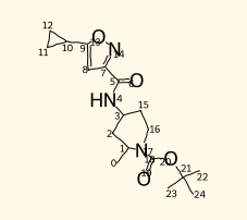 CC1CC(NC(=O)c2cc(C3CC3)on2)CCN1C(=O)OC(C)(C)C